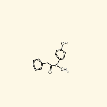 CN(C(=O)Cc1ccccc1)c1ccc(O)cc1